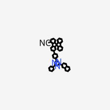 N#Cc1cccc2c1-c1ccc(-c3ccc(-c4nc(-c5ccccc5)nc(-c5ccc6ccccc6c5)n4)cc3)cc1C21c2ccccc2-c2ccccc21